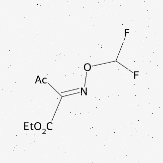 CCOC(=O)/C(=N/OC(F)F)C(C)=O